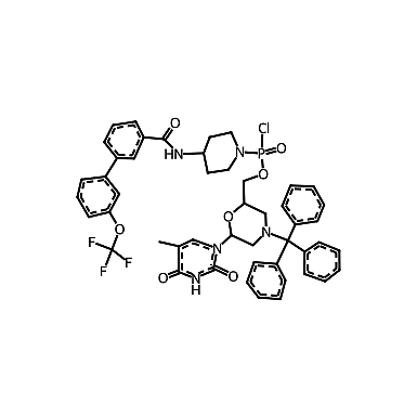 Cc1cn(C2CN(C(c3ccccc3)(c3ccccc3)c3ccccc3)CC(COP(=O)(Cl)N3CCC(NC(=O)c4cccc(-c5cccc(OC(F)(F)F)c5)c4)CC3)O2)c(=O)[nH]c1=O